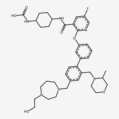 CC1COCCN1Cc1cc(CN2CCCN(CCO)CC2)ccc1-c1cccc(Oc2ncc(F)cc2C(=O)NC2CCC(NC(=O)O)CC2)c1